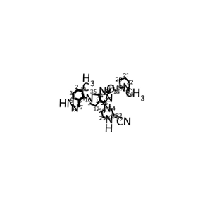 Cc1ccc2[nH]ncc2c1N1CCc2c(nc(OC[C@@H]3CCCN3C)nc2N2CCN[C@@H](CC#N)C2)C1